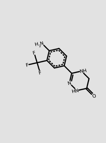 Nc1ccc(C2=NNC(=O)CN2)cc1C(F)(F)F